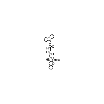 CC(C)(C)OC(=O)C(Cc1ccccc1)NC(=O)CNC(=O)CNC(=O)OCC1c2ccccc2-c2ccccc21